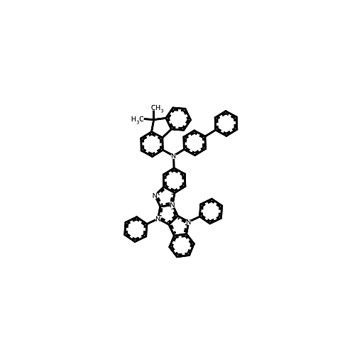 CC1(C)c2ccccc2-c2c(N(c3ccc(-c4ccccc4)cc3)c3ccc4c(c3)nc3n(-c5ccccc5)c5c6ccccc6n(-c6ccccc6)c5n43)cccc21